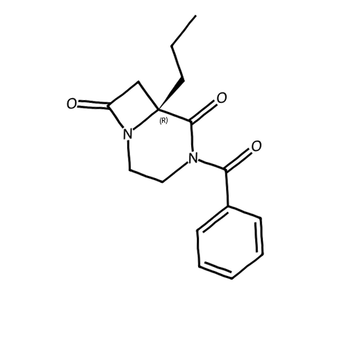 CCC[C@]12CC(=O)N1CCN(C(=O)c1ccccc1)C2=O